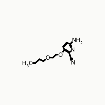 CCCCOCCOc1ccc(N)nc1C#N